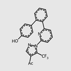 CC(=O)c1cnn(-c2cccc(-c3ccccc3-c3ccc(O)cc3)n2)c1C(F)(F)F